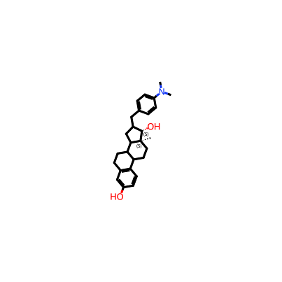 CN(C)c1ccc(CC2CC3C4CCc5cc(O)ccc5C4CC[C@]3(C)[C@H]2O)cc1